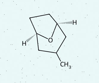 CC1C[C@H]2CC[C@@H](C1)O2